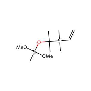 C=C[Si](C)(C)C(C)(C)O[Si](C)(OC)OC